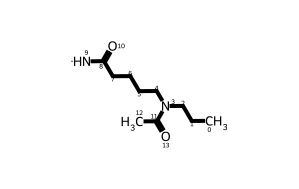 CCCN(CCCCC([NH])=O)C(C)=O